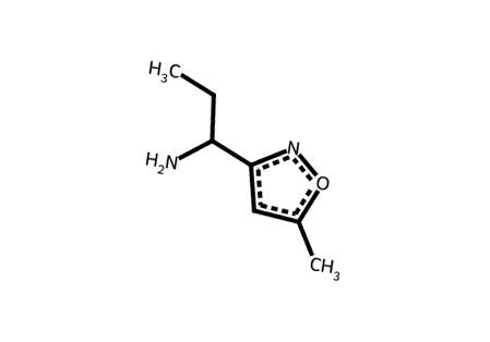 CCC(N)c1cc(C)on1